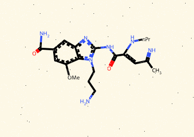 CCCN/C(=C\C(C)=N)C(=O)Nc1nc2cc(C(N)=O)cc(OC)c2n1CCCN